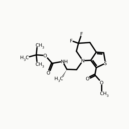 COC(=O)c1scc2c1N(C[C@H](C)NC(=O)OC(C)(C)C)CC(F)(F)C2